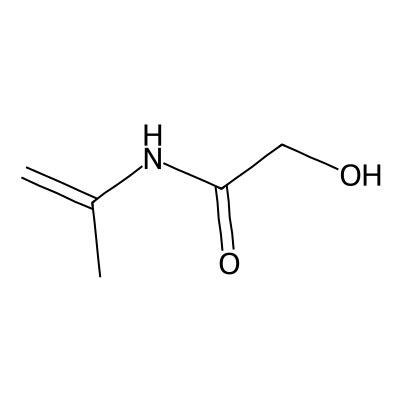 C=C(C)NC(=O)CO